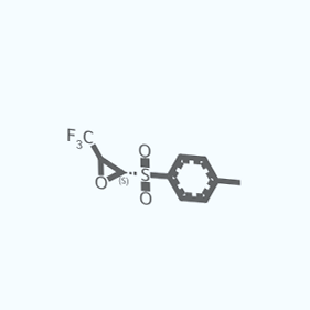 Cc1ccc(S(=O)(=O)[C@@H]2OC2C(F)(F)F)cc1